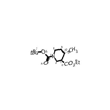 CCOC(=O)[C@H]1CN(C(=O)OC(C)(C)C)CC[C@@H]1C